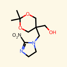 CC1(C)OCC(CO)(CN2CCN=C2[N+](=O)[O-])CO1